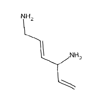 C=CC(N)C=CCN